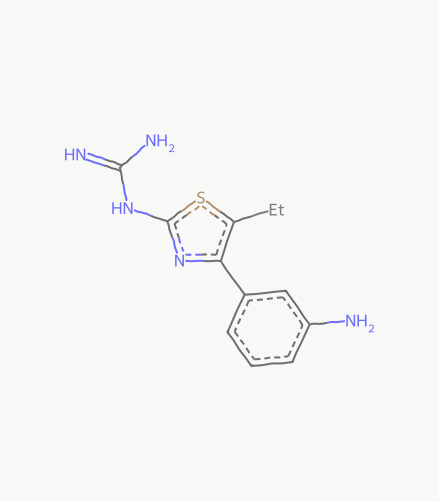 CCc1sc(NC(=N)N)nc1-c1cccc(N)c1